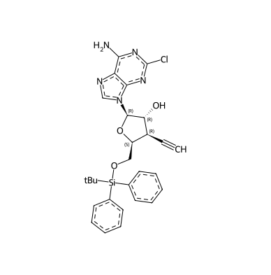 C#C[C@@H]1[C@@H](O)[C@H](n2cnc3c(N)nc(Cl)nc32)O[C@@H]1CO[Si](c1ccccc1)(c1ccccc1)C(C)(C)C